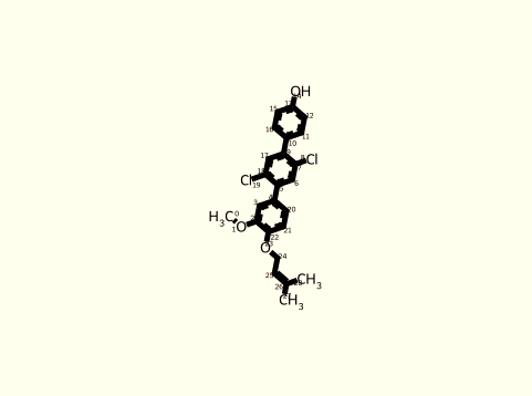 COc1cc(-c2cc(Cl)c(-c3ccc(O)cc3)cc2Cl)ccc1OCC=C(C)C